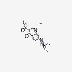 CCCn1cc(C(=O)OCC)c(=O)c2ccc(/N=N/N(CC)CC)cc21